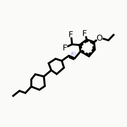 CCCC1CCC(C2CCC(/C=C/c3ccc(OCC)c(F)c3C(F)F)CC2)CC1